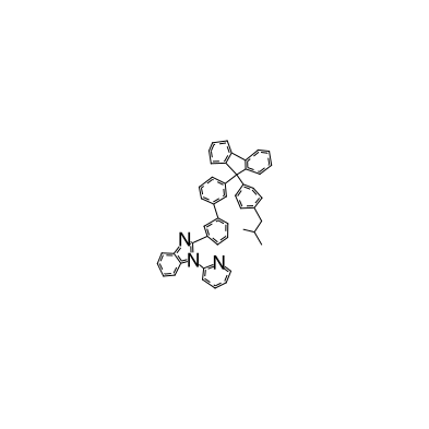 CC(C)Cc1ccc(C2(c3cccc(-c4cccc(-c5nc6ccccc6n5-c5ccccn5)c4)c3)c3ccccc3-c3ccccc32)cc1